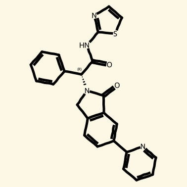 O=C(Nc1nccs1)[C@@H](c1ccccc1)N1Cc2ccc(-c3ccccn3)cc2C1=O